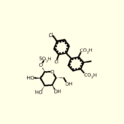 Cc1c(C(=O)O)ccc(-c2ccc(Cl)cc2Cl)c1C(=O)O.O=S(=O)(O)O[C@@H]1O[C@H](CO)[C@@H](O)[C@H](O)[C@H]1O